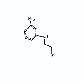 CC(C)CCNc1cccc(N)c1